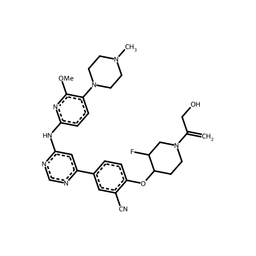 C=C(CO)N1CCC(Oc2ccc(-c3cc(Nc4ccc(N5CCN(C)CC5)c(OC)n4)ncn3)cc2C#N)C(F)C1